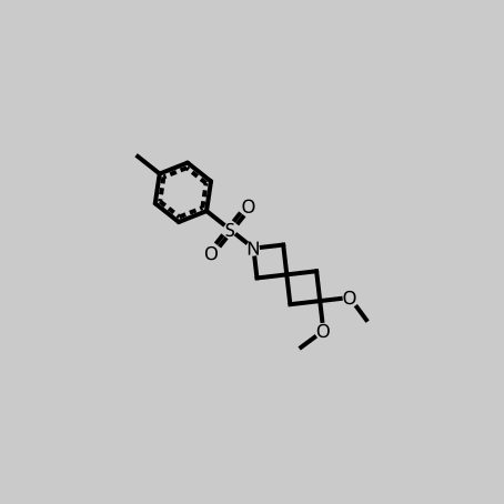 COC1(OC)CC2(CN(S(=O)(=O)c3ccc(C)cc3)C2)C1